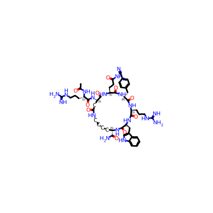 CC(=O)N[C@@H](CCCNC(=N)N)C(=O)N[C@H]1CC(=O)NCCCC[C@@H](C(N)=O)NC(=O)[C@H](Cc2c[nH]c3ccccc23)NC(=O)[C@H](CCCNC(=N)N)NC(=O)[C@@H](Cc2ccc(C#N)cc2)NC(=O)[C@H](CCC(N)=O)NC1=O